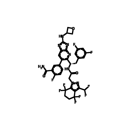 NC(=O)c1cc(-c2cc3sc(NC4COC4)nc3nc2[C@H](Cc2cc(F)cc(F)c2)NC(=O)Cn2nc(C(F)F)c3c2C(F)(F)CCC3(F)F)ccc1F